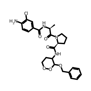 C[C@H](NC(=O)c1ccc(N)c(Cl)c1)C(=O)N1CCC[C@H]1C(=O)NC1CCOOC1OCc1ccccc1